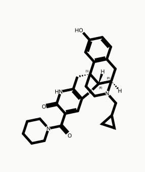 O=C(c1cc2c([nH]c1=O)C[C@]13CCN(CC4CC4)[C@H](Cc4ccc(O)cc41)[C@@H]3C2)N1CCCCC1